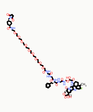 CC[C@@]1(O)C(=O)OCc2c1cc1n(c2=O)Cc2c-1nc1cc(F)c(C)c3c1c2[C@@H](NC(=O)[C@@H](O)OCNC(=O)CNC(=O)[C@H](CCc1ccccc1)NC(=O)CNC(=O)CNC(=O)COCCOCCOCCOCCOCCOCCOCCOCCOCCNC(=O)[C@H]1CC[C@H](CN2C(=O)C=CC2=O)CC1)CC3